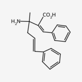 CC(N)(CC=Cc1ccccc1)C(=Cc1ccccc1)C(=O)O